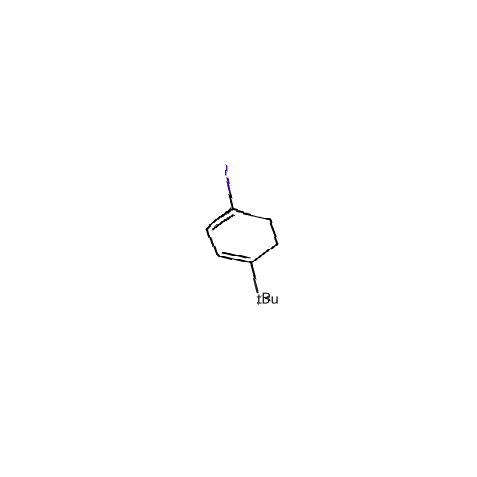 CC(C)(C)C1=CC=C(I)CC1